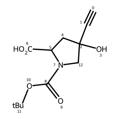 C#CC1(O)CC(C(=O)O)N(C(=O)OC(C)(C)C)C1